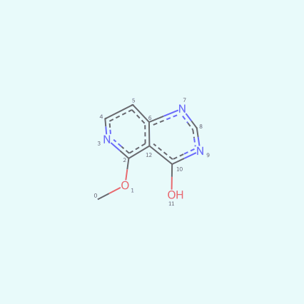 COc1nccc2ncnc(O)c12